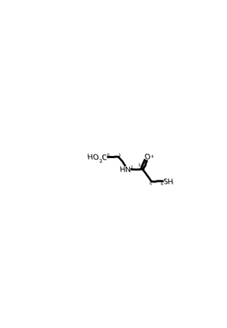 O=C(O)CNC(=O)CS